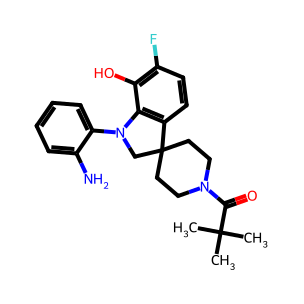 CC(C)(C)C(=O)N1CCC2(CC1)CN(c1ccccc1N)c1c2ccc(F)c1O